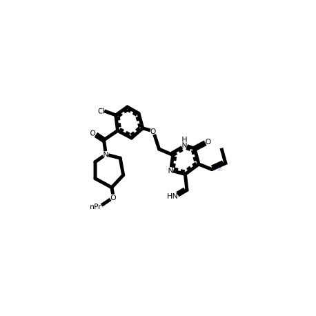 C/C=C\c1c(C=N)nc(COc2ccc(Cl)c(C(=O)N3CCC(OCCC)CC3)c2)[nH]c1=O